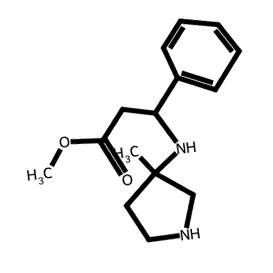 COC(=O)CC(NC1(C)CCNC1)c1ccccc1